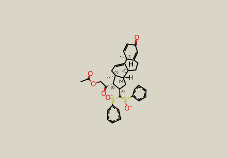 CC(=O)OCC(=O)[C@H]1[C@H](C([S+]([O-])c2ccccc2)[S+]([O-])c2ccccc2)C[C@H]2[C@@H]3CCC4=CC(=O)C=C[C@]4(C)C3=CC[C@@]21C